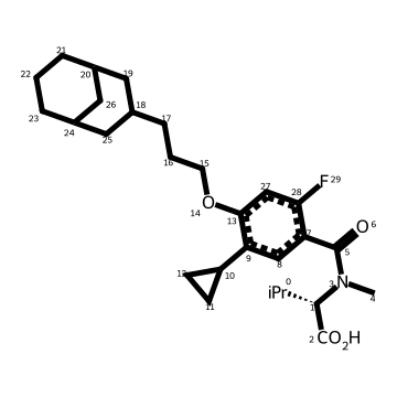 CC(C)[C@@H](C(=O)O)N(C)C(=O)c1cc(C2CC2)c(OCCCC2CC3CCCC(C2)C3)cc1F